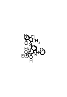 CCOP(=O)(OCC)C(O)c1nn(C2CCCCO2)c2ccc(OC(C)c3c(Cl)cncc3Cl)cc12